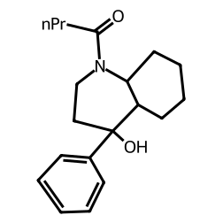 CCCC(=O)N1CCC(O)(c2ccccc2)C2CCCCC21